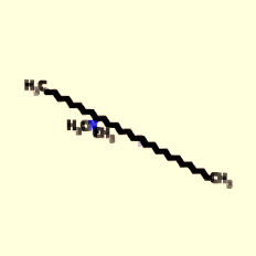 CCCCCCCCCCC/C=C/CCCCCCC(CCCCCCCCC)N(C)C